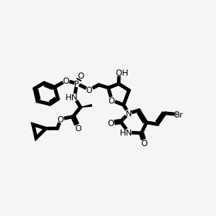 C[C@H](NP(=O)(OCC1OC(n2cc(/C=C/Br)c(=O)[nH]c2=O)CC1O)Oc1ccccc1)C(=O)OCC1CC1